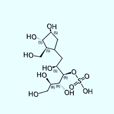 O=S(=O)(O)O[C@@H]([C@H](O)[C@H](O)CO)[C@@H](O)CC1C[C@H](O)[C@@H](O)[C@@H]1CO